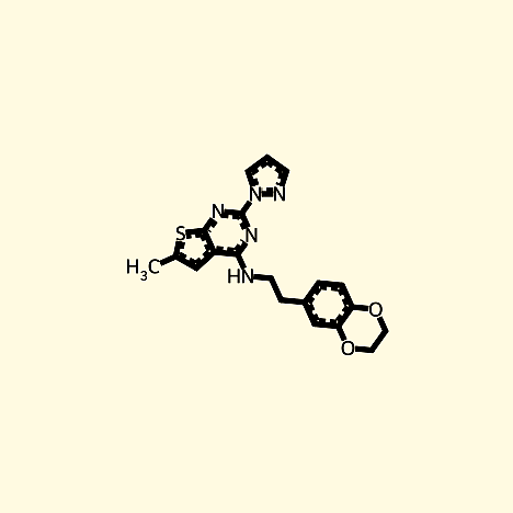 Cc1cc2c(NCCc3ccc4c(c3)OCCO4)nc(-n3cccn3)nc2s1